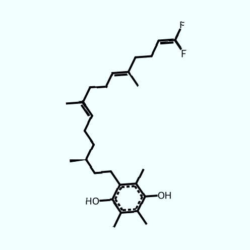 C/C(=C\CC/C(C)=C/CC[C@H](C)CCc1c(C)c(O)c(C)c(C)c1O)CCC=C(F)F